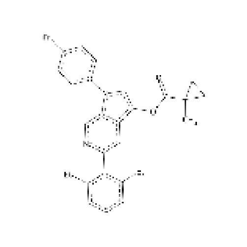 CCc1cccc(CC)c1-c1cc2c(OC(=O)C3(C)CC3)cn(-c3ccc(C(C)C)cc3)c2cn1